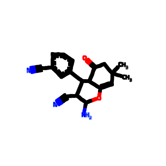 CC1(C)C=C2OC(N)C(C#N)C(c3cccc(C#N)c3)C2C(=O)C1